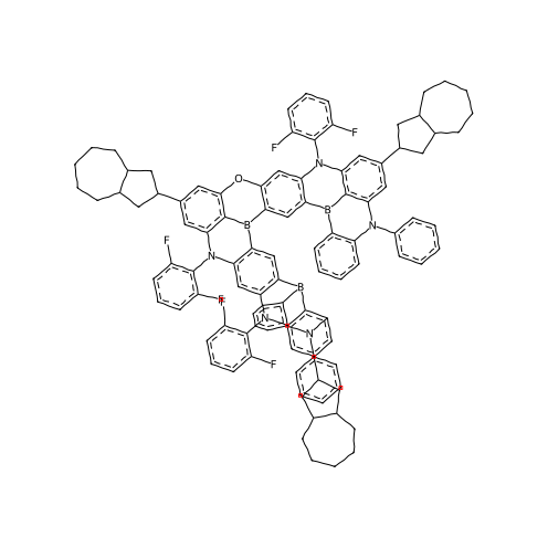 Fc1cccc(F)c1N1c2cc3c(cc2B2c4cc5c(cc4Oc4cc(C6CC7CCCCCC7C6)cc1c42)N(c1c(F)cccc1F)c1cc(C2CC4CCCCCC4C2)cc2c1B5c1ccccc1N2c1ccccc1)B1c2ccccc2N(c2ccccc2)c2cc(C4CC5CCCCCC5C4)cc(c21)N3c1c(F)cccc1F